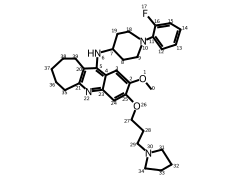 COc1cc2c(NC3CCN(c4ccccc4F)CC3)c3c(nc2cc1OCCCN1CCCC1)CCCCC3